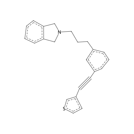 C(#Cc1cccc(CCCN2Cc3ccccc3C2)c1)c1ccsc1